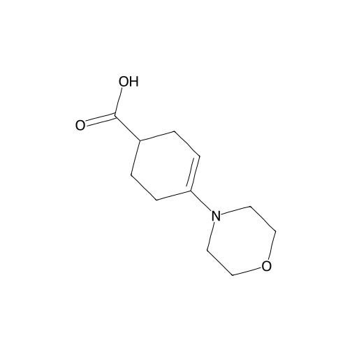 O=C(O)C1CC=C(N2CCOCC2)CC1